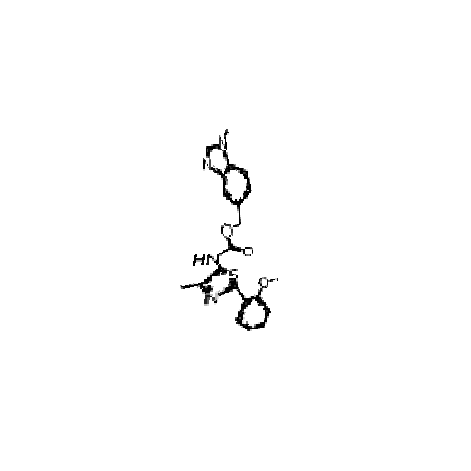 COc1ccccc1-c1nc(C)c(NC(=O)OCc2ccc3c(c2)ncn3C)s1